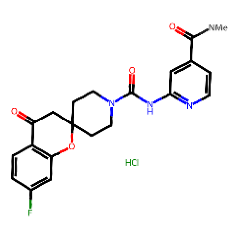 CNC(=O)c1ccnc(NC(=O)N2CCC3(CC2)CC(=O)c2ccc(F)cc2O3)c1.Cl